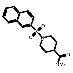 COC(=O)C1CCN(S(=O)(=O)c2ccc3ccccc3c2)CC1